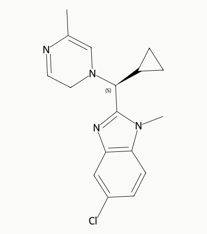 CC1=CN([C@H](c2nc3cc(Cl)ccc3n2C)C2CC2)CC=N1